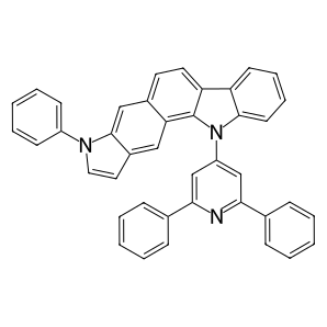 c1ccc(-c2cc(-n3c4ccccc4c4ccc5cc6c(ccn6-c6ccccc6)cc5c43)cc(-c3ccccc3)n2)cc1